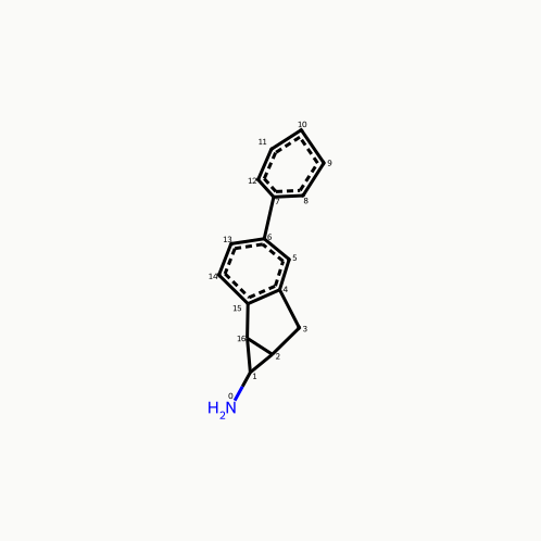 NC1C2Cc3cc(-c4ccccc4)ccc3C12